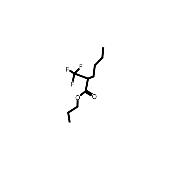 CCCCC(C(=O)OCCC)C(F)(F)F